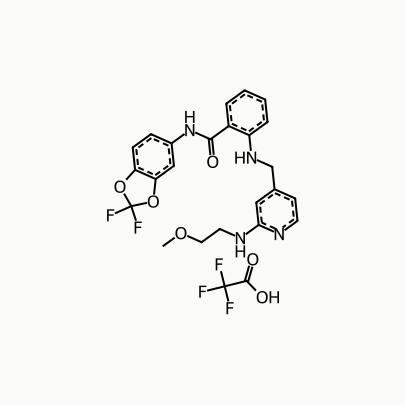 COCCNc1cc(CNc2ccccc2C(=O)Nc2ccc3c(c2)OC(F)(F)O3)ccn1.O=C(O)C(F)(F)F